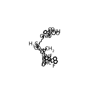 C#Cc1c(F)ccc2cccc(-c3ncc4c(N5CC6CCC(C5)N6)nc(OCC56CCC(COC(=O)N(C)CCCCCC(=O)Nc7cccc8c7C(=O)N(C7CCC(=O)NC7=O)C8=O)N5CC(=C)C6)nc4c3F)c12